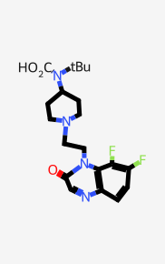 CC(C)(C)N(C(=O)O)C1CCN(CCn2c(=O)cnc3ccc(F)c(F)c32)CC1